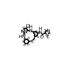 Cn1cncc1C(=O)Nc1cc2cc(c1)Nc1nc(ncc1Cl)Nc1cccc(c1)CC2